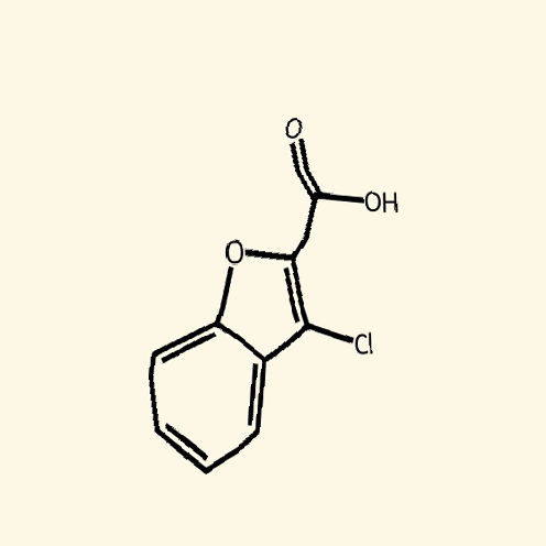 O=C(O)c1oc2ccccc2c1Cl